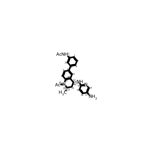 CC(=O)Nc1cccc(-c2ccc3c(c2)[C@H](Nc2ccc(N)cn2)C[C@H](C)N3C(C)=O)c1